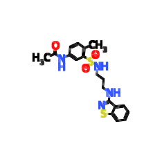 CC(=O)Nc1ccc(C)c(S(=O)(=O)NCCCNc2nsc3ccccc23)c1